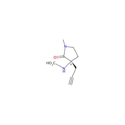 C#CC[C@]1(NC(=O)O)CCN(C)C1=O